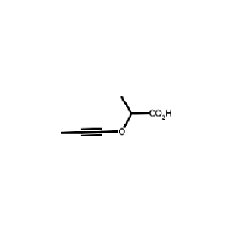 CC#COC(C)C(=O)O